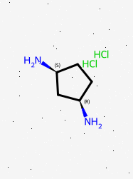 Cl.Cl.N[C@@H]1CC[C@H](N)C1